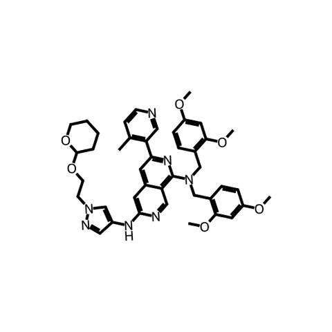 COc1ccc(CN(Cc2ccc(OC)cc2OC)c2nc(-c3cnccc3C)cc3cc(Nc4cnn(CCOC5CCCCO5)c4)ncc23)c(OC)c1